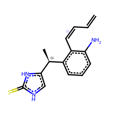 C=C/C=C\c1c(N)cccc1[C@H](C)c1c[nH]c(=S)[nH]1